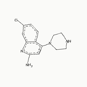 Nc1cc(N2CCNCC2)c2ccc(Cl)cc2n1